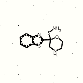 NSC1(c2nc3ccccc3s2)CNCCO1